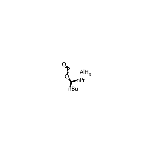 CCCCC(CCC)OP=O.[AlH3]